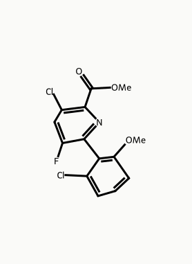 COC(=O)c1nc(-c2c(Cl)cccc2OC)c(F)cc1Cl